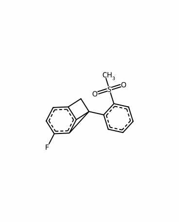 CS(=O)(=O)c1ccccc1C12Cc3ccc(F)c1c32